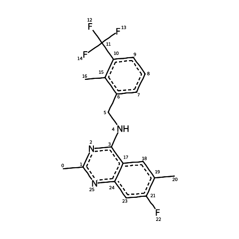 Cc1nc(NCc2cccc(C(F)(F)F)c2C)c2cc(C)c(F)cc2n1